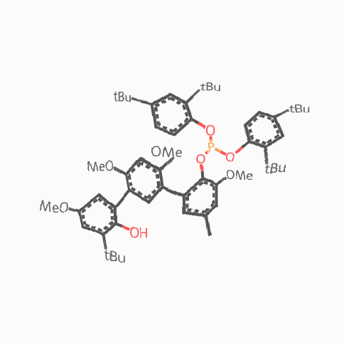 COc1cc(-c2cc(-c3cc(C)cc(OC)c3OP(Oc3ccc(C(C)(C)C)cc3C(C)(C)C)Oc3ccc(C(C)(C)C)cc3C(C)(C)C)c(OC)cc2OC)c(O)c(C(C)(C)C)c1